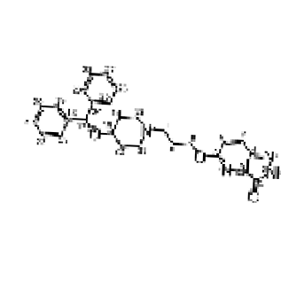 O=c1[nH]nc2ccc(OCCCN3CCC(OC(c4ccccc4)c4ccccc4)CC3)nn12